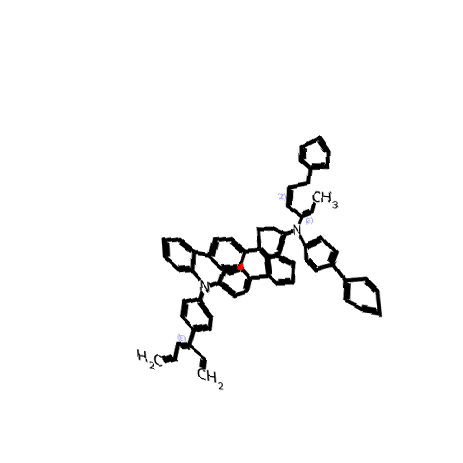 C=C/C=C(\C=C)c1ccc(N(c2ccc(-c3ccccc3)cc2)c2ccccc2-c2ccc(C3=CC=C(N(C(/C=C\Cc4ccccc4)=C/C)c4ccc(-c5ccccc5)cc4)CC3)cc2)cc1